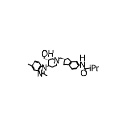 Cc1ccc2c(c1)nc(C)n2[C@@H]1CCN(C[C@@H]2Cc3ccc(NC(=O)C(C)C)cc3C2)C[C@H]1CO